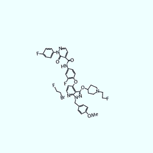 COc1ccc(Cn2nc(OC3CCN(CCF)CC3)c3c(Oc4ccc(NC(=O)c5ccnn(-c6ccc(F)cc6)c5=O)cc4F)ccnc32)cc1.FCCBr